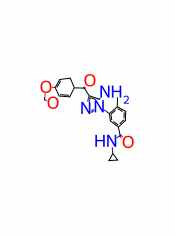 Cc1ccc(C(=O)NC2CC2)cc1-n1cnc(C(=O)C2C=C3OCOC3=CC2)c1N